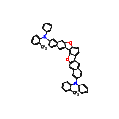 FC(F)(F)c1ccccc1N(c1ccccc1)c1ccc2cc3c(cc2c1)oc1c3ccc2oc3cc4cc(N(c5ccccc5)c5ccccc5C(F)(F)F)ccc4cc3c21